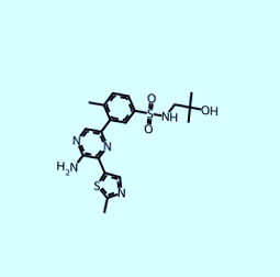 Cc1ncc(-c2nc(-c3cc(S(=O)(=O)NCC(C)(C)O)ccc3C)cnc2N)s1